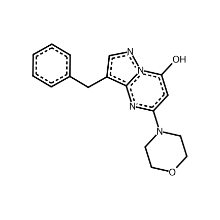 Oc1cc(N2CCOCC2)nc2c(Cc3ccccc3)cnn12